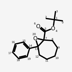 CC(C)(C)OC(=O)C12CCCCCC1(c1ccccc1)O2